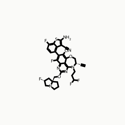 C#C[C@H]1COc2c(Cl)c(-c3ccc(F)c4sc(N)c(C#N)c34)c(F)c3nc(OC[C@@]45CCCN4C[C@H](F)C5)nc(c23)N1CCC(F)F